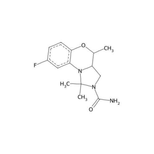 CC1Oc2ccc(F)cc2N2C1CN(C(N)=O)C2(C)C